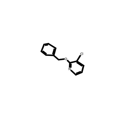 Clc1cc[c]nc1OCc1ccccc1